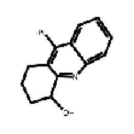 CC(C)c1c2c(nc3ccccc13)C(O)CCC2